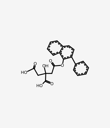 O=C(O)CC(O)(CC(=O)Oc1c(-c2ccccc2)ccc2ccccc12)C(=O)O